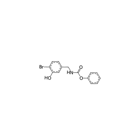 O=C(NCc1ccc(Br)c(O)c1)Oc1ccccc1